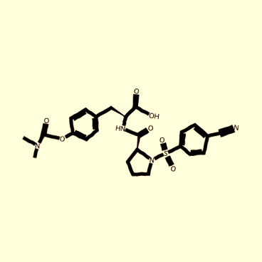 CN(C)C(=O)Oc1ccc(C[C@H](NC(=O)[C@@H]2CCCN2S(=O)(=O)c2ccc(C#N)cc2)C(=O)O)cc1